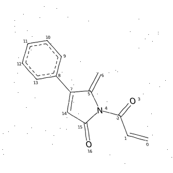 C=CC(=O)N1C(=C)C(c2ccccc2)=CC1=O